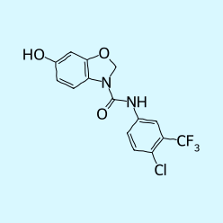 O=C(Nc1ccc(Cl)c(C(F)(F)F)c1)N1COc2cc(O)ccc21